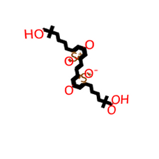 CC(C)(CO)CCCCc1cc(=O)cc(C=Cc2cc(=O)cc(CCCCC(C)(C)C(=O)O)[s+]2[O-])[s+]1[O-]